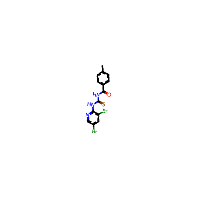 Cc1ccc(C(=O)NC(=S)Nc2ncc(Br)cc2Br)cc1